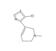 CN1CCC=C(c2ncsc2Cl)C1